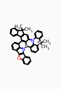 CC1(C)c2ccccc2-c2c1cc1c3c2-c2cccc4c5oc6ccccc6c5n(c24)B3c2cccc3c2N1c1ccccc1[Si]3(C)C